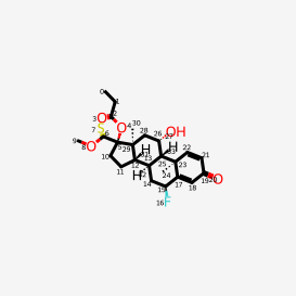 CCC(=O)O[C@]1(C(=S)OC)CC[C@H]2[C@@H]3C[C@H](F)C4=CC(=O)C=C[C@]4(C)[C@H]3[C@@H](O)C[C@@]21C